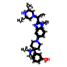 CCCC(c1nc2cc(N3CCC(c4cccc(O)c4)(N(C)C)CC3)ccc2n1CC)N1C[C@@H](C)N[C@@H](C)C1